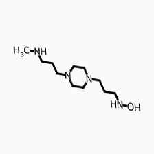 CNCCCN1CCN(CCCNO)CC1